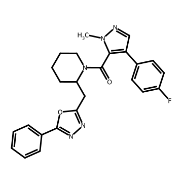 Cn1ncc(-c2ccc(F)cc2)c1C(=O)N1CCCCC1Cc1nnc(-c2ccccc2)o1